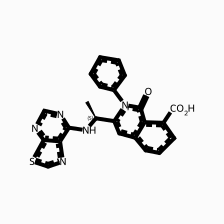 C[C@H](Nc1ncnc2scnc12)c1cc2cccc(C(=O)O)c2c(=O)n1-c1ccccc1